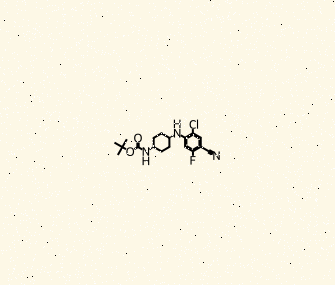 CC(C)(C)OC(=O)N[C@H]1CC[C@@H](Nc2cc(F)c(C#N)cc2Cl)CC1